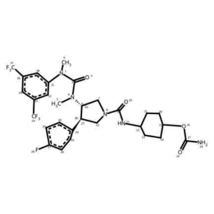 CN(C(=O)N(C)[C@@H]1CN(C(=O)NC2CCC(OC(N)=O)CC2)C[C@H]1c1ccc(F)cc1)c1cc(C(F)(F)F)cc(C(F)(F)F)c1